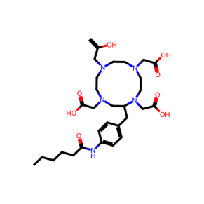 C=C(O)CN1CCN(CC(=O)O)CCN(CC(=O)O)C(Cc2ccc(NC(=O)CCCCC)cc2)CN(CC(=O)O)CC1